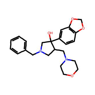 OC1(c2ccc3c(c2)OCO3)CN(Cc2ccccc2)CC1CN1CCOCC1